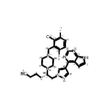 N#CCCC[C@@H](Cn1cc(-c2ncnc3[nH]ccc23)cn1)N1CCN(Cc2c(F)ccc(F)c2Cl)CC1